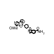 COc1cncc([C@@H]2CCON2C(=O)[C@H]2CC[C@H](Cn3ncc4ccc(C(N)=O)cc43)CC2)n1